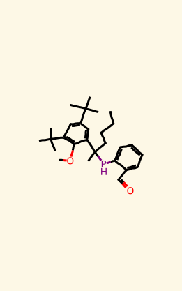 CCCCC(C)(Pc1ccccc1C=O)c1cc(C(C)(C)C)cc(C(C)(C)C)c1OC